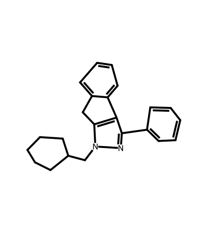 c1ccc(-c2nn(CC3CCCCC3)c3c2-c2ccccc2C3)cc1